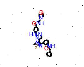 O=C(Cc1ccccc1)Nc1cccc(-c2nc3sccn3c2-c2ccnc(Nc3ccc(C(=O)NCCN4CCOCC4)cc3)n2)c1